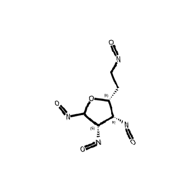 O=NCC[C@H]1OC(N=O)[C@@H](N=O)[C@H]1N=O